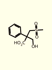 CS(=O)(=O)CC(CO)(C(=O)O)c1ccccc1